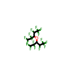 FC(C(OC(C(F)C(F)(F)F)C(F)(F)C(F)F)C(F)(F)C(F)F)C(F)(F)F